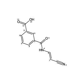 N#CC=[C]NC(=O)c1cccc(C(=O)O)c1